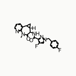 CN1C(=O)C(NC(=O)c2nn(Cc3ccc(F)cc3)cc2F)[C@H]2CC2c2cccnc21